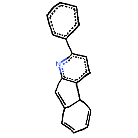 C1=CC2=Cc3nc(-c4ccccc4)ccc3C2C=C1